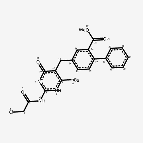 CCCCc1[nH]c(NC(=O)CCl)nc(=O)c1Cc1ccc(-c2ccccc2)c(C(=O)OC)c1